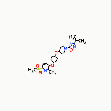 Cc1nc(S(C)(=O)=O)ccc1O[C@H]1CC[C@H](OC2CCN(c3nc(C(C)C)no3)CC2)CC1